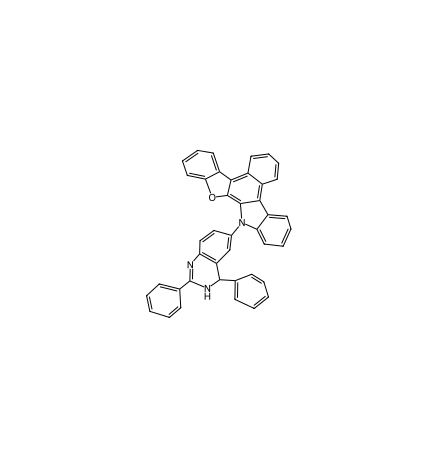 c1ccc(C2=Nc3ccc(-n4c5ccccc5c5c6ccccc6c6c7ccccc7oc6c54)cc3C(c3ccccc3)N2)cc1